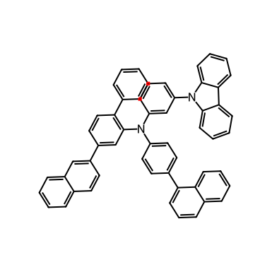 c1ccc(-c2ccc(-c3ccc4ccccc4c3)cc2N(c2ccc(-c3cccc4ccccc34)cc2)c2cccc(-n3c4ccccc4c4ccccc43)c2)cc1